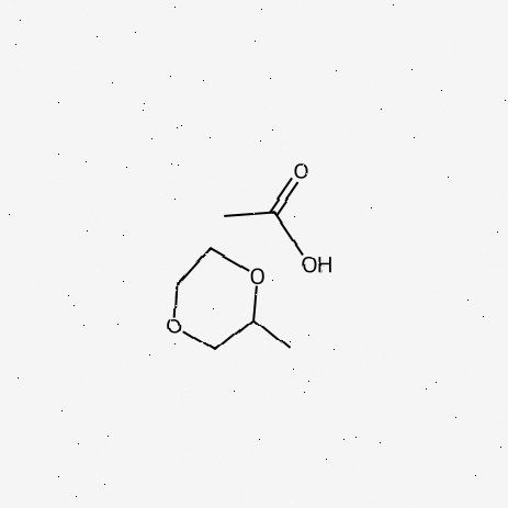 CC(=O)O.CC1COCCO1